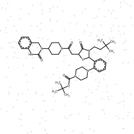 CC(C)(C)CCN1C(=O)C(CC(=O)N2CCC(N3Cc4ccccc4NC3=O)CC2)SC1c1ccccc1N1CCN(C(=O)OC(C)(C)C)CC1